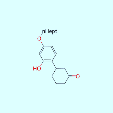 CCCCCCCOc1ccc(C2CCCC(=O)C2)c(O)c1